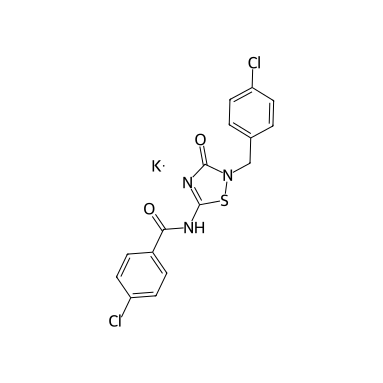 O=C(Nc1nc(=O)n(Cc2ccc(Cl)cc2)s1)c1ccc(Cl)cc1.[K]